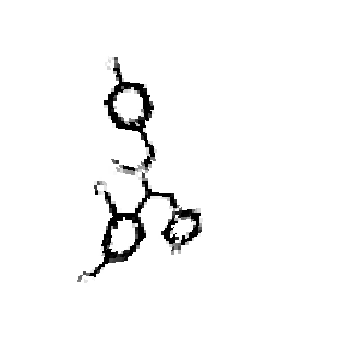 [O-][S+](Cc1ccc(Cl)cc1)C(Cn1ccnc1)c1ccc(Cl)cc1Cl